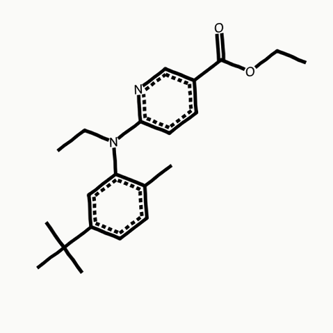 CCOC(=O)c1ccc(N(CC)c2cc(C(C)(C)C)ccc2C)nc1